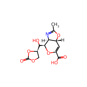 CC1=N[C@H]2[C@@H](C=C(C(=O)O)O[C@H]2C(O)[C@H]2COC(=O)O2)O1